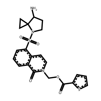 NC1CCN(S(=O)(=O)c2cccc3c(=O)n(COC(=O)c4cccs4)ccc23)C12CC2